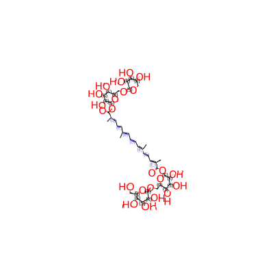 CC(/C=C/C=C(\C)C(=O)O[C@@H]1O[C@H](CO[C@@H]2O[C@H](CO)[C@@H](O)[C@H](O)[C@H]2O)[C@@H](O)[C@H](O)[C@H]1O)=C\C=C\C=C(C)\C=C\C=C(/C)C(=O)O[C@@H]1O[C@H](CO[C@@H]2OC[C@@H](O)[C@H](O)[C@H]2O)[C@@H](O)[C@H](O)[C@H]1O